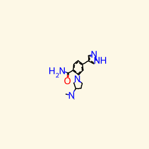 CN(C)C1CCN(c2cc(-c3cn[nH]c3)ccc2C(N)=O)C1